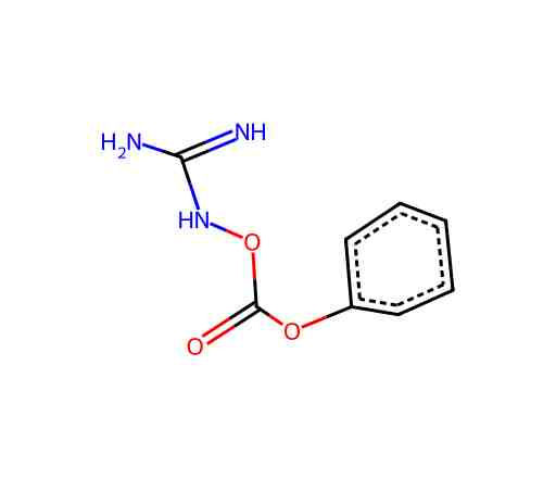 N=C(N)NOC(=O)Oc1ccccc1